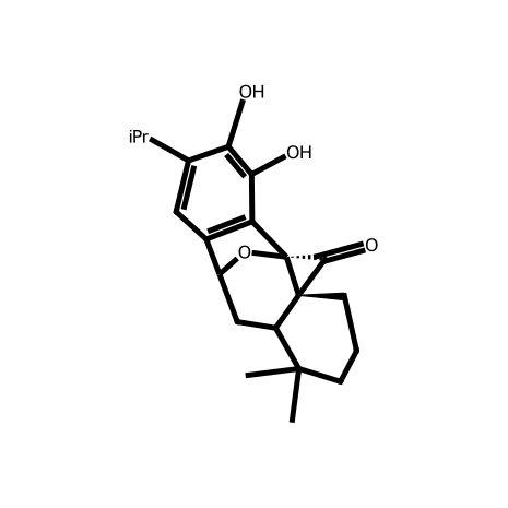 CC(C)c1cc2c(c(O)c1O)[C@]13OC2CC2C(C)(C)CCC[C@@]21C3=O